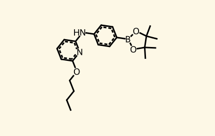 CCCCOc1cccc(Nc2ccc(B3OC(C)(C)C(C)(C)O3)cc2)n1